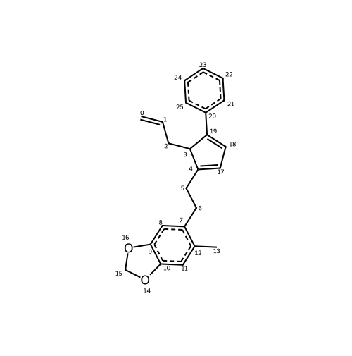 C=CCC1C(CCc2cc3c(cc2C)OCO3)=CC=C1c1ccccc1